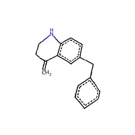 C=C1CCNc2ccc(Cc3ccccc3)cc21